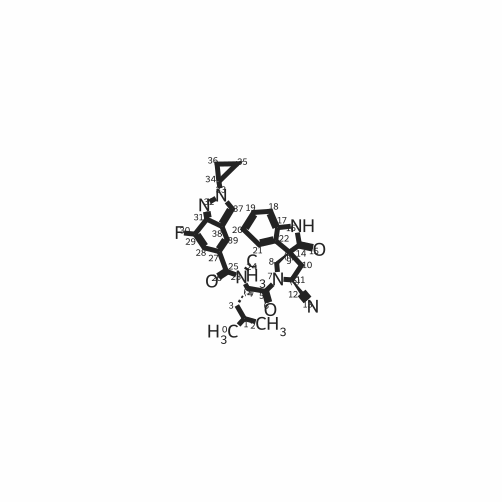 CC(C)C[C@@H](C(=O)N1C[C@]2(C[C@H]1C#N)C(=O)Nc1ccccc12)N(C)C(=O)c1cc(F)c2nn(C3CC3)cc2c1